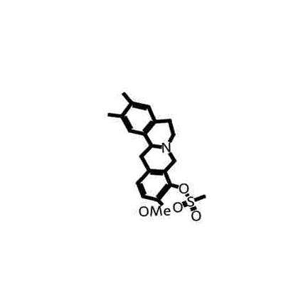 COc1ccc2c(c1OS(C)(=O)=O)CN1CCc3cc(C)c(C)cc3C1C2